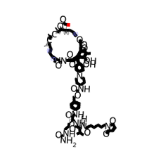 CC(=O)O[C@@H]1[C@H](C)C/C=C/O[C@@]2(C)Oc3c(C)c(O)c4c(=O)c(c5oc6cc(N7CCC(NC(=O)OCc8ccc(NC(=O)[C@H](CCCNC(N)=O)NC(=O)[C@@H](NC(=O)CCCCCN9C(=O)C=CC9=O)C(C)C)cc8)CC7)cc(O)c6nc-5c4c3C2=O)NC(=O)/C(C)=C\C=C\[C@H](C)C[C@@H](C)C[C@H]1C